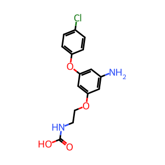 Nc1cc(OCCNC(=O)O)cc(Oc2ccc(Cl)cc2)c1